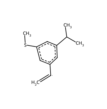 C=[C]c1cc(SC)cc(C(C)C)c1